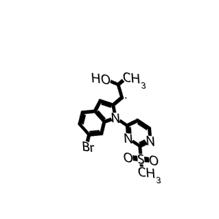 CC(O)[CH]c1cc2ccc(Br)cc2n1-c1ccnc(S(C)(=O)=O)n1